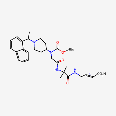 CC(c1cccc2ccccc12)N1CCC(N(CC(=O)NC(C)(C)C(=O)NC/C=C/C(=O)O)C(=O)OC(C)(C)C)CC1